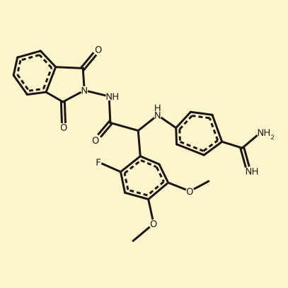 COc1cc(F)c(C(Nc2ccc(C(=N)N)cc2)C(=O)NN2C(=O)c3ccccc3C2=O)cc1OC